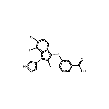 Cc1c(Sc2cccc(C(=O)O)c2)c2ccc(Cl)c(F)c2n1-c1cn[nH]c1